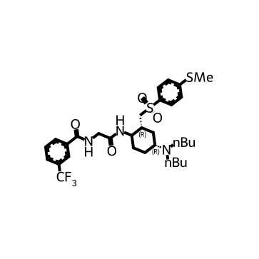 CCCCN(CCCC)[C@@H]1CCC(NC(=O)CNC(=O)c2cccc(C(F)(F)F)c2)[C@H](CS(=O)(=O)c2ccc(SC)cc2)C1